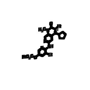 CCOC(=O)Oc1cnc(Nc2cc3c(cn2)N(C)C(=O)[C@@H](CC)N3C2CCCC2)c(CC)c1